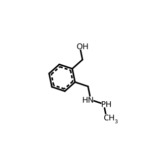 CPNCc1ccccc1CO